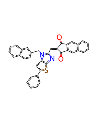 O=C1C(=Cc2nc3sc(-c4ccccc4)cc3n2Cc2ccc3ccccc3c2)C(=O)c2cc3ccccc3cc21